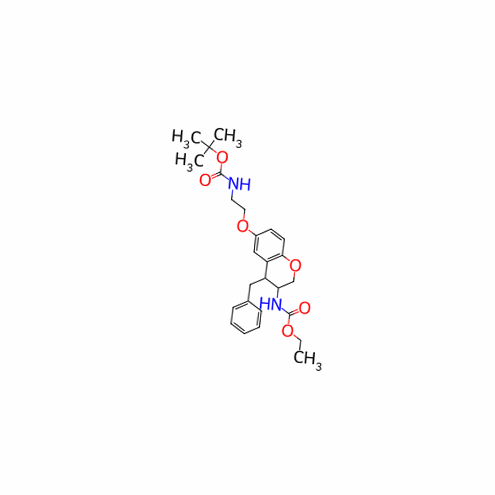 CCOC(=O)NC1COc2ccc(OCCNC(=O)OC(C)(C)C)cc2C1Cc1ccccc1